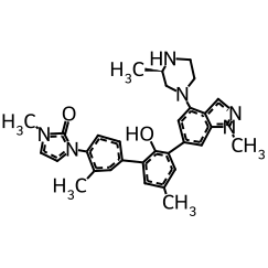 Cc1cc(-c2ccc(-n3ccn(C)c3=O)c(C)c2)c(O)c(-c2cc(N3CCN[C@H](C)C3)c3cnn(C)c3c2)c1